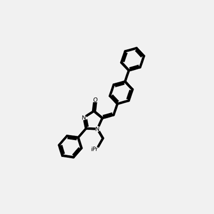 CC(C)CN1C(=Cc2ccc(-c3ccccc3)cc2)C(=O)N=C1c1ccccc1